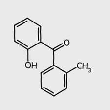 Cc1ccccc1C(=O)c1ccccc1O